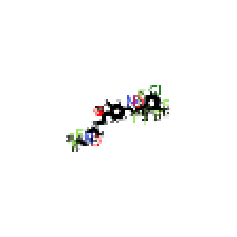 Cc1cc(C2=NO[C@@](c3cc(C(F)(F)F)cc(Cl)c3F)(C(F)(F)F)C2)ccc1C(=O)CC[C@@H]1CON(CC(F)(F)F)C1